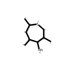 CCCC1C(C)CSC(C)CC1C